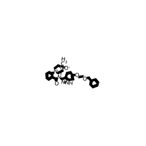 C[N+]1([O-])CCN(c2ccccc2C(=O)Nc2n[nH]c3cc(OCCOCc4ccccc4)ccc23)CC1